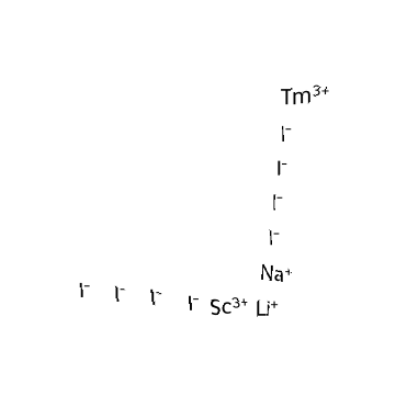 [I-].[I-].[I-].[I-].[I-].[I-].[I-].[I-].[Li+].[Na+].[Sc+3].[Tm+3]